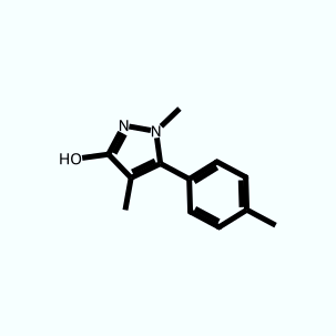 Cc1ccc(-c2c(C)c(O)nn2C)cc1